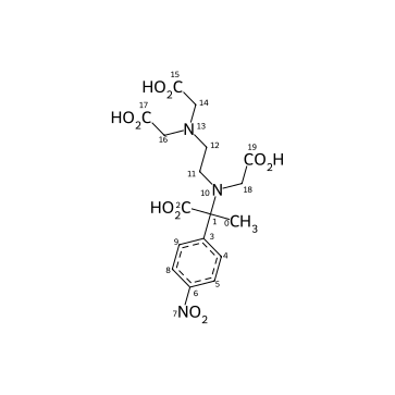 CC(C(=O)O)(c1ccc([N+](=O)[O-])cc1)N(CCN(CC(=O)O)CC(=O)O)CC(=O)O